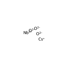 [Cs+].[Nb+5].[O-2].[O-2].[O-2]